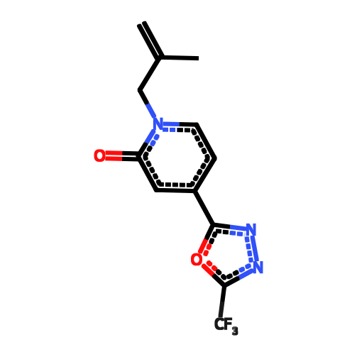 C=C(C)Cn1ccc(-c2nnc(C(F)(F)F)o2)cc1=O